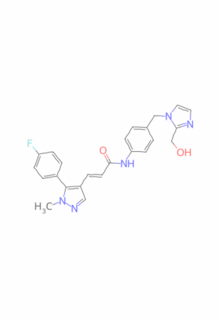 Cn1ncc(C=CC(=O)Nc2ccc(Cn3ccnc3CO)cc2)c1-c1ccc(F)cc1